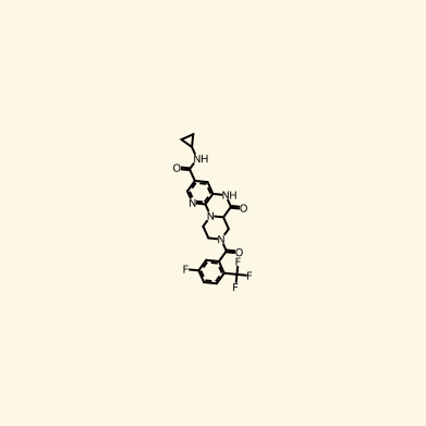 O=C(NC1CC1)c1cnc2c(c1)NC(=O)C1CN(C(=O)c3cc(F)ccc3C(F)(F)F)CCN21